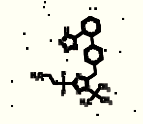 CCCC(F)(F)c1nc(Cc2ccc(-c3ccccc3-c3nnn[nH]3)cc2)n(C(C)(C)C)n1